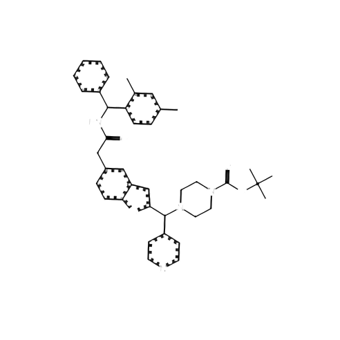 Cc1ccc(C(NC(=O)Cc2ccc3oc(C(c4ccncc4)N4CCN(C(=O)OC(C)(C)C)CC4)cc3c2)c2ccccc2)c(C)c1